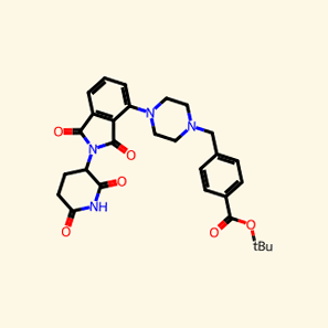 CC(C)(C)OC(=O)c1ccc(CN2CCN(c3cccc4c3C(=O)N(C3CCC(=O)NC3=O)C4=O)CC2)cc1